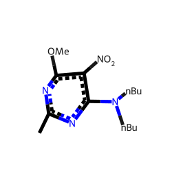 CCCCN(CCCC)c1nc(C)nc(OC)c1[N+](=O)[O-]